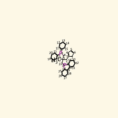 CC(CC1=CC=CC1)(CP(c1ccccc1)c1ccccc1)Cp1c2ccccc2c2ccccc21